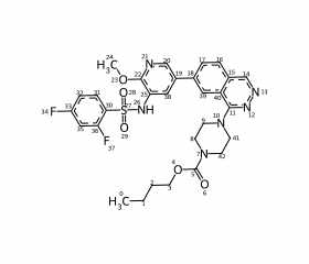 CCCCOC(=O)N1CCN(c2nncc3ccc(-c4cnc(OC)c(NS(=O)(=O)c5ccc(F)cc5F)c4)cc23)CC1